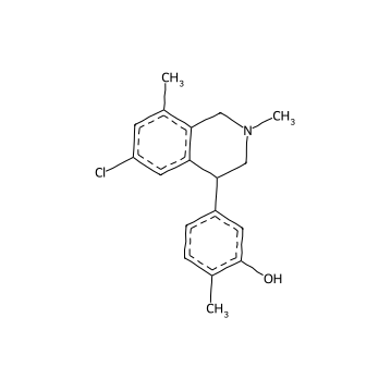 Cc1ccc(C2CN(C)Cc3c(C)cc(Cl)cc32)cc1O